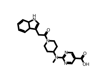 CN(c1ncc(C(=O)O)cn1)C1CCN(C(=O)CC2=CNC3C=CC=CC23)CC1